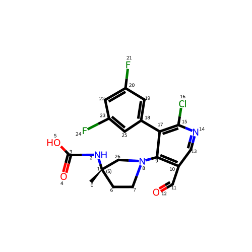 C[C@]1(NC(=O)O)CCN(c2c(C=O)cnc(Cl)c2-c2cc(F)cc(F)c2)C1